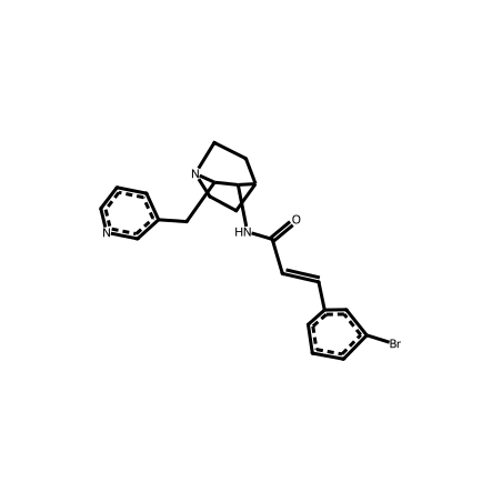 O=C(/C=C/c1cccc(Br)c1)NC1C2CCN(CC2)C1Cc1cccnc1